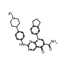 CC(C)N1CCC(c2ccc(Nc3ncc4c(=O)c(C(N)=O)cn(-c5ccc6c(c5)CCC6)c4n3)cc2)CC1